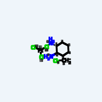 N[C@@H]1CCCC[C@H]1N.[CH2-]Cl.[Cl][Pt]([Cl])[Cl]